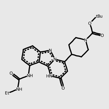 CCNC(=O)Nc1cccc2nn3c(C4CCN(C(=O)OC(C)(C)C)CC4)cc(=O)[nH]c3c12